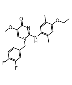 CCOc1cc(C)c(Nc2nc(=O)c(OC)cn2Cc2ccc(F)c(F)c2)cc1C